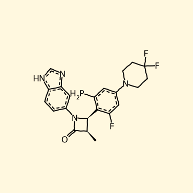 C[C@H]1C(=O)N(c2ccc3[nH]cnc3c2)[C@H]1c1c(F)cc(N2CCC(F)(F)CC2)cc1P